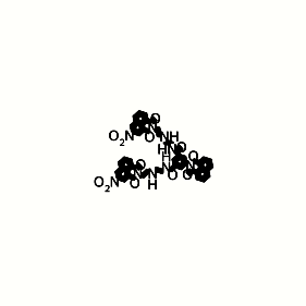 O=C(NCCNCCN1C(=O)c2cccc3cc([N+](=O)[O-])cc(c23)C1=O)c1cc(C(=O)NCCNCCN2C(=O)c3cccc4cc([N+](=O)[O-])cc(c34)C2=O)cc(N2C(=O)c3cccc4cccc(c34)C2=O)c1